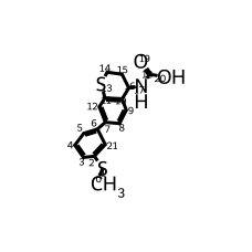 CSc1cccc(-c2ccc3c(c2)SCCC3NC(=O)O)c1